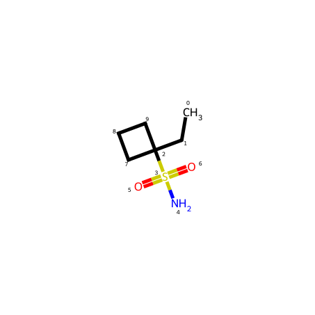 CCC1(S(N)(=O)=O)CCC1